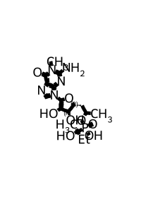 CCC(C)(O)P(=O)(O)OC(C)C[C@H]1OC(n2cnc3c(=O)n(C)c(N)nc32)=C(O)[C@@H]1O